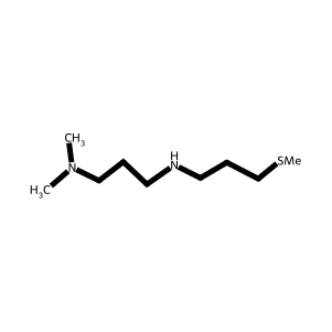 CSCCCNCCCN(C)C